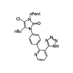 CCCCCn1c(Cl)c(CCCC)n(-c2ccc(-c3ncccc3-c3nnn[nH]3)cc2)c1=O